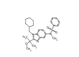 COC(C)(C)c1nc2cc(N(C)S(=O)(=O)c3ccccc3)ccc2n1CC1CCCCC1